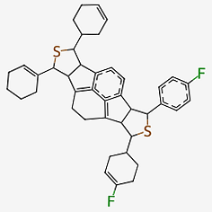 FC1=CCC(C2SC(c3ccc(F)cc3)C3c4ccc5c6c4=C(CCC=6C4C(C6=CCCCC6)SC(C6CC=CCC6)C54)C23)CC1